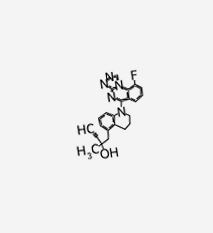 C#CC(C)(O)Cc1cccc2c1CCCN2c1nc2nncn2c2c(F)cccc12